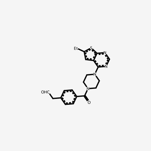 CCc1cc2c(N3CCN(C(=O)c4ccc(CC=O)cc4)CC3)ncnc2s1